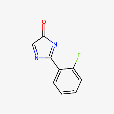 O=C1C=NC(c2ccccc2F)=N1